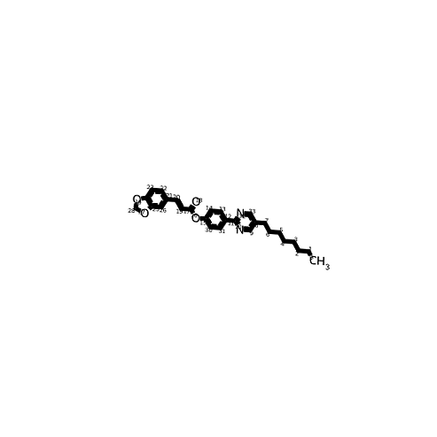 CCCCCCCCc1cnc(-c2ccc(OC(=O)C=Cc3ccc4c(c3)OCO4)cc2)nc1